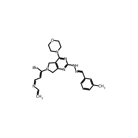 C=C/N=C\C=C(/C(C)CC)N1Cc2nc(N/N=C/c3cccc(C)c3)nc(N3CCOCC3)c2C1